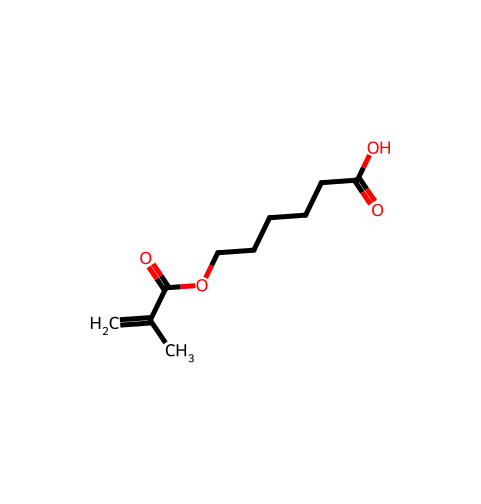 C=C(C)C(=O)OCCCCCC(=O)O